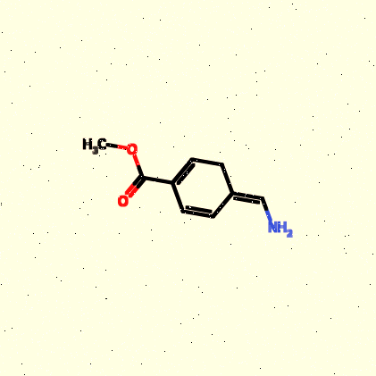 COC(=O)C1=CCC(=CN)C=C1